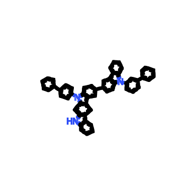 c1ccc(-c2ccc(-n3c4ccc(-c5ccc6c(c5)c5ccccc5n6-c5cccc(-c6ccccc6)c5)cc4c4cc5c(cc43)[nH]c3ccccc35)cc2)cc1